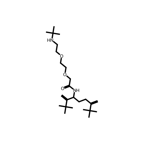 C=C(CCC(NC(=O)COCCOCCNC(C)(C)C)C(=C)C(C)(C)C)C(C)(C)C